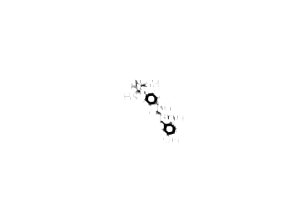 O=C(NCc1cc(O)ccc1O)Nc1ccc(-n2c(S)nnc2S)cc1